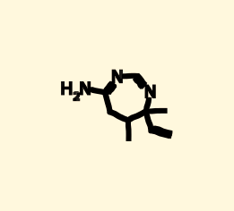 C=CC1(C)N=CN=C(N)CC1C